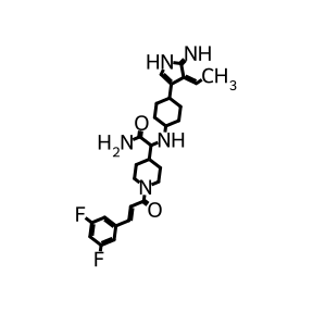 C/C=C1\C(=N)NC=C1C1CCC(NC(C(N)=O)C2CCN(C(=O)/C=C/c3cc(F)cc(F)c3)CC2)CC1